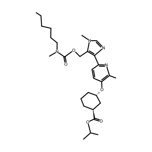 CCCCCCN(C)C(=O)OCc1c(-c2ccc(O[C@H]3CCC[C@H](C(=O)OC(C)C)C3)c(C)n2)ncn1C